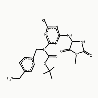 CN1C(=O)NC(Nc2nc(Cl)nc(N(Cc3ccc(CN)cc3)C(=O)OC(C)(C)C)n2)C1=O